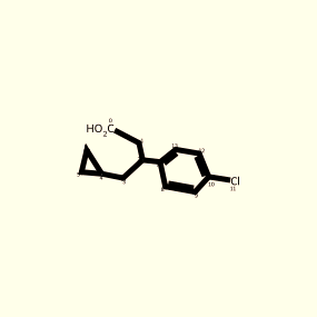 O=C(O)CC(CC1CC1)c1ccc(Cl)cc1